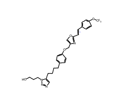 OCCCn1nncc1CCCCc1ccc(OCc2coc(/C=C/c3ccc(OC(F)(F)F)cc3)n2)cc1